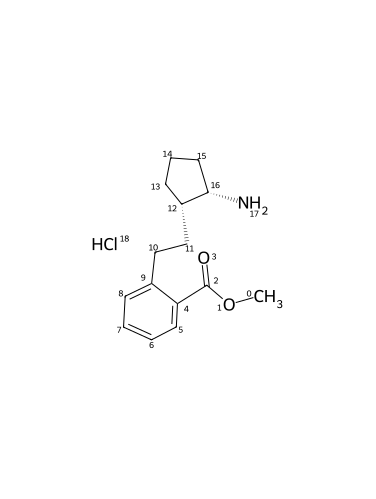 COC(=O)c1ccccc1CC[C@@H]1CCC[C@@H]1N.Cl